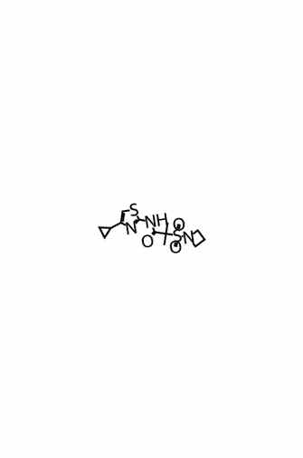 CC(C)(C(=O)Nc1nc(C2CC2)cs1)S(=O)(=O)N1CCC1